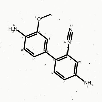 COc1cc(-c2ccc(N)cc2[N+]#N)ccc1N